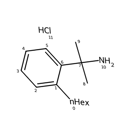 CCCCCCc1ccccc1C(C)(C)N.Cl